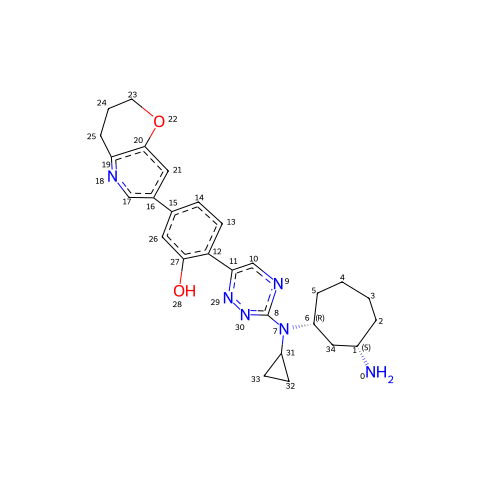 N[C@H]1CCCC[C@@H](N(c2ncc(-c3ccc(-c4cnc5c(c4)OCCC5)cc3O)nn2)C2CC2)C1